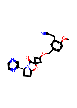 COc1ccc(COC2CC3(C2)OC2CC[C@@H](c4cnccn4)N2C3=O)cc1CC#N